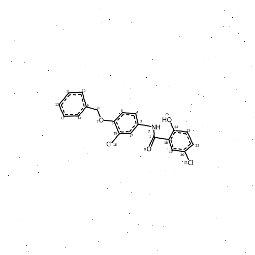 O=C(Nc1ccc(OCc2ccccc2)c(Cl)c1)c1cc(Cl)ccc1O